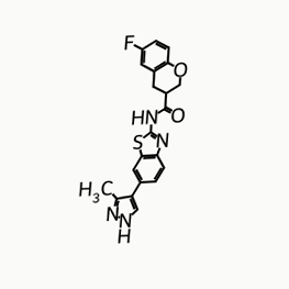 Cc1n[nH]cc1-c1ccc2nc(NC(=O)C3COc4ccc(F)cc4C3)sc2c1